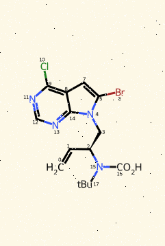 C=C[C@@H](Cn1c(Br)cc2c(Cl)ncnc21)N(C(=O)O)C(C)(C)C